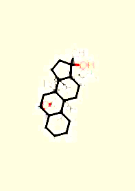 CC1(O)CC[C@H]2[C@@H]3CCC4CCCC[C@]4(C=O)[C@@H]3CC[C@@]21C